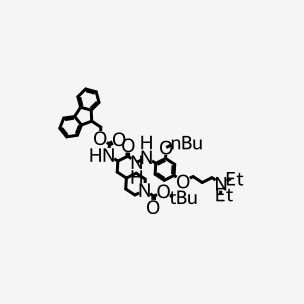 CCCCOc1cc(OCCCN(CC)CC)ccc1NNC(=O)C(CC1CCN(C(=O)OC(C)(C)C)CC1)NC(=O)OCC1c2ccccc2-c2ccccc21